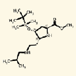 COC(=O)[C@@H]1C[C@@H](O[Si](C)(C)C(C)(C)C)[C@@H](CCNCC(C)C)N1